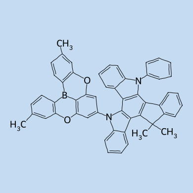 Cc1ccc2c(c1)Oc1cc(-n3c4ccccc4c4c5c(c6c(c7ccccc7n6-c6ccccc6)c43)-c3ccccc3C5(C)C)cc3c1B2c1ccc(C)cc1O3